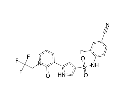 N#Cc1ccc(NS(=O)(=O)c2c[nH]c(-c3cccn(CC(F)(F)F)c3=O)c2)c(F)c1